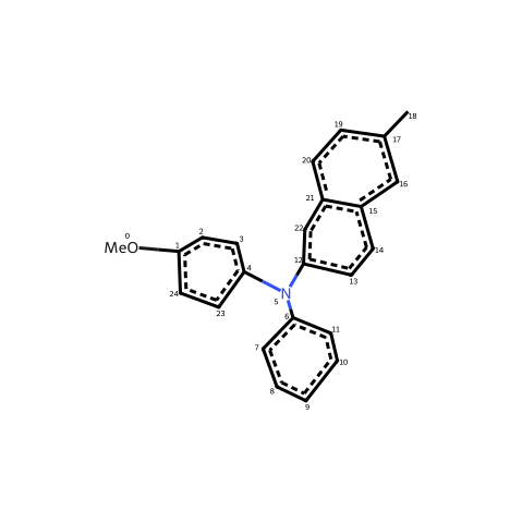 COc1ccc(N(c2ccccc2)c2ccc3cc(C)ccc3c2)cc1